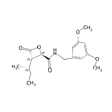 CC[C@H](C)[C@@H]1C(=O)O[C@H]1C(=O)NCc1cc(OC)cc(OC)c1